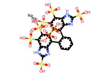 O=S(=O)(O)c1nc2c(-c3ccccc3-c3c(S(=O)(=O)O)c(S(=O)(=O)O)c(S(=O)(=O)O)c4[nH]c(S(=O)(=O)O)nc34)c(S(=O)(=O)O)c(S(=O)(=O)O)c(S(=O)(=O)O)c2[nH]1.[Na].[Na]